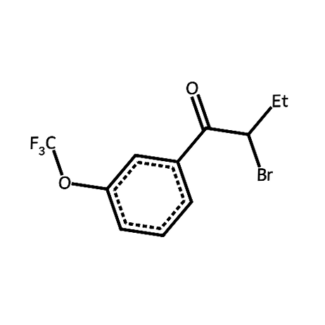 CCC(Br)C(=O)c1cccc(OC(F)(F)F)c1